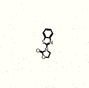 O=C1OCCN1c1nc2ccccc2s1